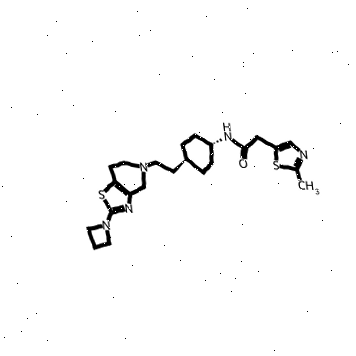 Cc1ncc(CC(=O)N[C@H]2CC[C@H](CCN3CCc4sc(N5CCC5)nc4C3)CC2)s1